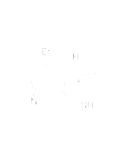 CCc1cncc2c1[C@H]1CC1N2